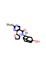 CNc1ncc(C(=O)N[C@H]2C3CC4CC2C[C@@](O)(C4)C3)c([C@H]2CCCO2)n1